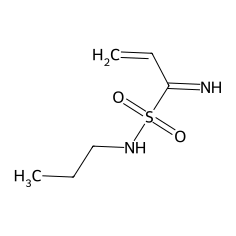 C=CC(=N)S(=O)(=O)NCCC